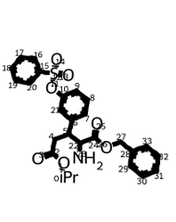 CC(C)OC(=O)CC(c1cccc(OS(=O)(=O)c2ccccc2)c1)C(N)C(=O)OCc1ccccc1